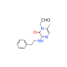 Cc1cnc(NCCc2ccccc2)c(=O)n1CC=O